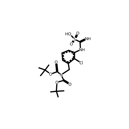 CC(C)(C)OC(=O)N(Cc1cccc(NC(=N)S(=O)(=O)O)c1Cl)C(=O)OC(C)(C)C